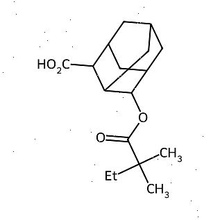 CCC(C)(C)C(=O)OC1C2CC3CC(C2)C(C(=O)O)C1C3